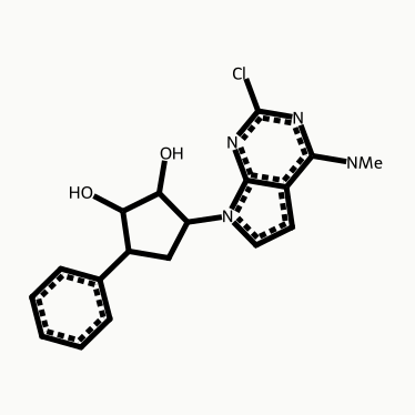 CNc1nc(Cl)nc2c1ccn2C1CC(c2ccccc2)C(O)C1O